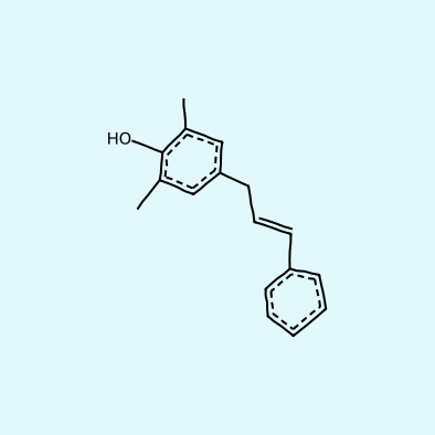 Cc1cc(C/C=C/c2ccccc2)cc(C)c1O